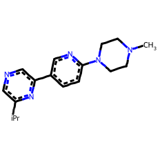 CC(C)c1cncc(-c2ccc(N3CCN(C)CC3)nc2)n1